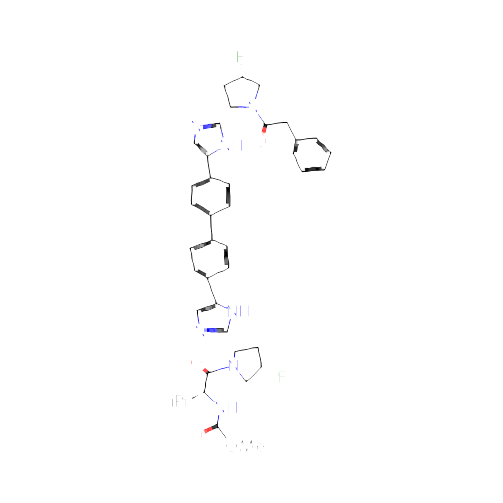 COC(=O)N[C@H](C(=O)N1C[C@@H](F)C[C@H]1c1ncc(-c2ccc(-c3ccc(-c4cnc([C@@H]5C[C@H](F)CN5C(=O)Cc5ccccc5)[nH]4)cc3)cc2)[nH]1)C(C)C